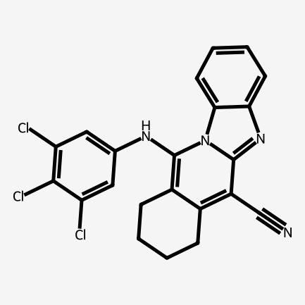 N#Cc1c2c(c(Nc3cc(Cl)c(Cl)c(Cl)c3)n3c1nc1ccccc13)CCCC2